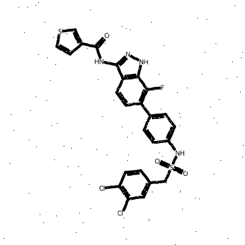 O=C(Nc1n[nH]c2c(F)c(-c3ccc(NS(=O)(=O)Cc4ccc(Cl)c(Cl)c4)cc3)ccc12)c1ccsc1